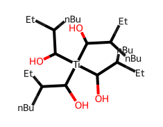 CCCCC(CC)[CH](O)[Ti]([CH](O)C(CC)CCCC)([CH](O)C(CC)CCCC)[CH](O)C(CC)CCCC